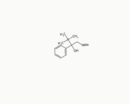 CNCC(O)(c1ccccc1)[N+](C)(C)C